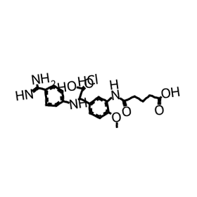 COc1ccc(C(Nc2ccc(C(=N)N)cc2)C(=O)O)cc1NC(=O)CCCC(=O)O.Cl